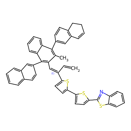 C=C/C(=C\c1c(C)c(-c2ccc3c(c2)C=CCC3)c2ccccc2c1-c1ccc2ccccc2c1)c1ccc(-c2ccc(-c3nc4ccccc4s3)s2)s1